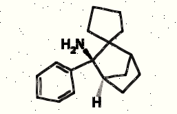 N[C@]1(c2ccccc2)[C@@H]2CCC(C2)C12CCCC2